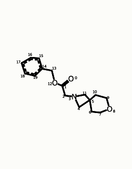 O=C(CN1CC2(CCOCC2)C1)OCc1ccccc1